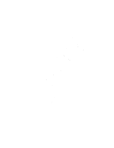 CC(C)(C)OC(=O)N1CC2(CC(Cn3cc(C(F)(F)F)cn3)C2)C1